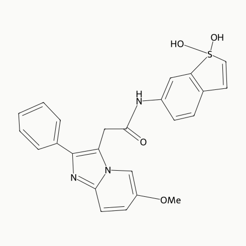 COc1ccc2nc(-c3ccccc3)c(CC(=O)Nc3ccc4c(c3)S(O)(O)C=C4)n2c1